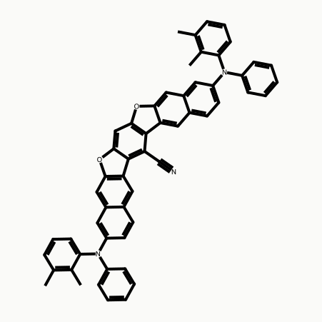 Cc1cccc(N(c2ccccc2)c2ccc3cc4c(cc3c2)oc2cc3oc5cc6cc(N(c7ccccc7)c7cccc(C)c7C)ccc6cc5c3c(C#N)c24)c1C